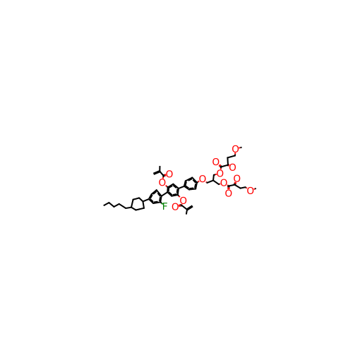 C=C(C)C(=O)Oc1cc(-c2ccc(C3CCC(CCCCC)CC3)cc2F)c(OC(=O)C(=C)C)cc1-c1ccc(OCC(COC(=O)C(=O)CCOC)COC(=O)C(=O)CCOC)cc1